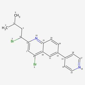 CC(C)CC(Br)c1cc(Br)c2cc(-c3ccncc3)ccc2n1